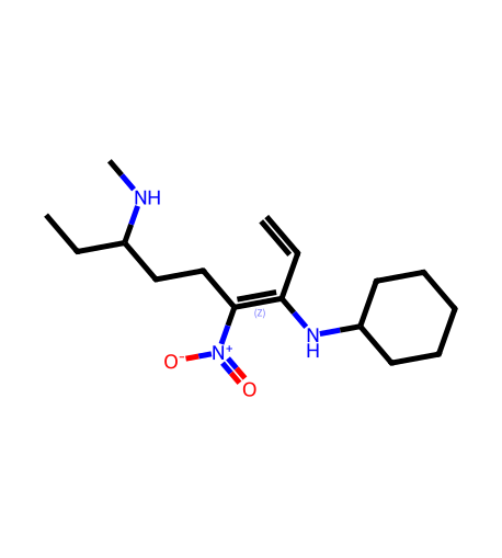 C=C/C(NC1CCCCC1)=C(\CCC(CC)NC)[N+](=O)[O-]